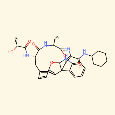 CC(C)[C@H](O)C(=O)N[C@H]1Cc2ccc3c(c2)C2(c4ccccc4NC2O3)c2oc(nc2C(=O)NC2CCCCC2)[C@H](C(C)C)NC1=O